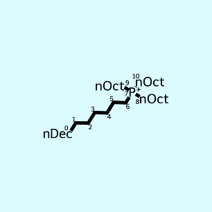 CCCCCCCCCCCCCCCC[P+](CCCCCCCC)(CCCCCCCC)CCCCCCCC